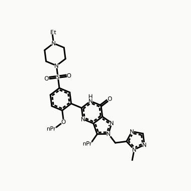 CCCOc1ccc(S(=O)(=O)N2CCN(CC)CC2)cc1-c1nc2c(CCC)n(Cc3ncnn3C)nc2c(=O)[nH]1